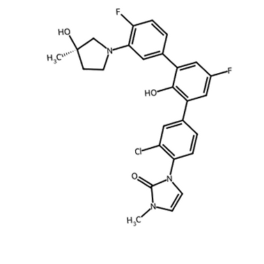 Cn1ccn(-c2ccc(-c3cc(F)cc(-c4ccc(F)c(N5CC[C@@](C)(O)C5)c4)c3O)cc2Cl)c1=O